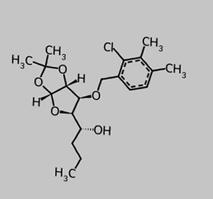 CCC[C@@H](O)[C@H]1O[C@@H]2OC(C)(C)O[C@@H]2[C@H]1OCc1ccc(C)c(C)c1Cl